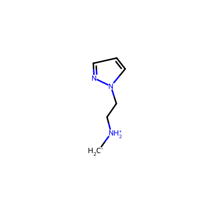 [CH2-][NH2+]CCn1cccn1